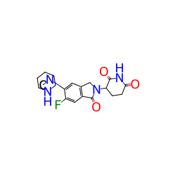 O=C1CCC(N2Cc3cc(N4CC5CCC4CN5)c(F)cc3C2=O)C(=O)N1